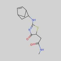 CNC(=O)CC1SC(NC2CC3C=CC2C3)=NC1=O